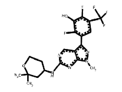 Cn1nc(-c2cc(C(F)(F)F)c(F)c(O)c2F)c2cnc(NC3CCOC(C)(C)C3)nc21